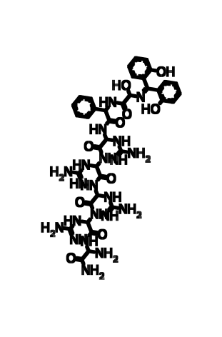 N=C(N)NC(NC(=O)C(NC(=N)N)NC(=O)C(NC(=N)N)NC(=O)C(NC(=N)N)NC(=O)C(NC(=O)C(O)N=C(c1ccccc1O)c1ccccc1O)c1ccccc1)C(=O)NC(N)C(N)=O